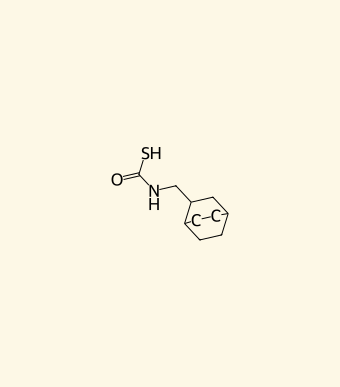 O=C(S)NCC1CC2CCC1CC2